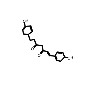 O=C(/C=C/C1=CCC(O)C=C1)CC(=O)CCC1C=CC(O)=CC1